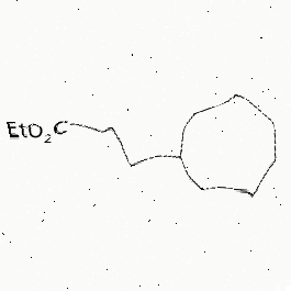 CCOC(=O)CCC1CCCCCC1